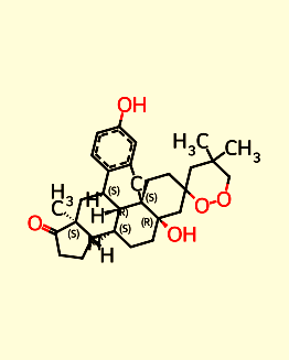 CC1(C)COOC2(CC[C@@]34Cc5cc(O)ccc5[C@H]5C[C@]6(C)C(=O)CC[C@H]6[C@H](CC[C@@]3(O)C2)[C@H]54)C1